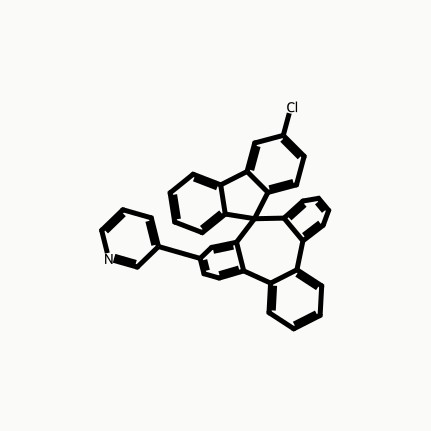 Clc1ccc2c(c1)-c1ccccc1C21c2ccccc2-c2ccccc2-c2ccc(-c3cccnc3)cc21